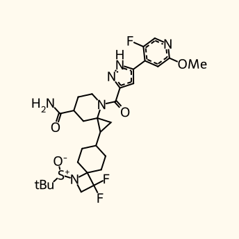 COc1cc(-c2cc(C(=O)N3CCC(C(N)=O)CC34CC4C3CCC4(CC3)N([S+]([O-])C(C)(C)C)CC4(F)F)n[nH]2)c(F)cn1